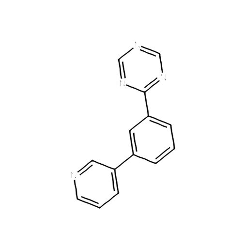 c1cncc(-c2cccc(-c3ncncn3)c2)c1